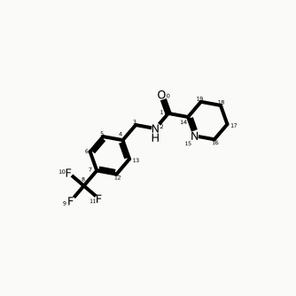 O=C(NCc1ccc(C(F)(F)F)cc1)C1=NCCCC1